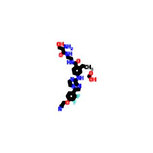 CCc1cc(Nc2nccn3c(-c4ccc(OCC#N)c(F)c4F)cnc23)ccc1C(=O)NCCNC(=O)[C@@H](N)CO.O=CO